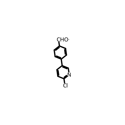 O=[C]c1ccc(-c2ccc(Cl)nc2)cc1